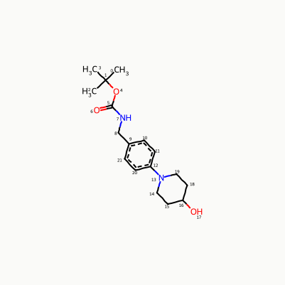 CC(C)(C)OC(=O)NCc1ccc(N2CCC(O)CC2)cc1